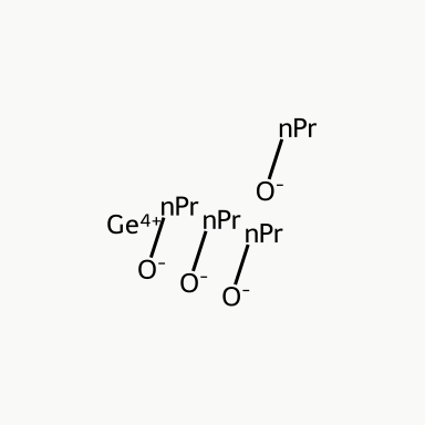 CCC[O-].CCC[O-].CCC[O-].CCC[O-].[Ge+4]